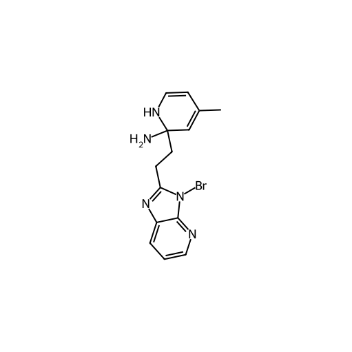 CC1=CC(N)(CCc2nc3cccnc3n2Br)NC=C1